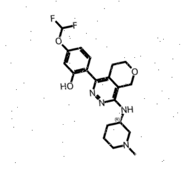 CN1CCC[C@@H](Nc2nnc(-c3ccc(OC(F)F)cc3O)c3c2COCC3)C1